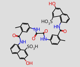 Cc1ccc(NC(=O)C(=O)Nc2ccc(C)c(C(=O)Nc3cccc4cc(O)cc(S(=O)(=O)O)c34)c2)cc1C(=O)Nc1cccc2cc(O)cc(S(=O)(=O)O)c12